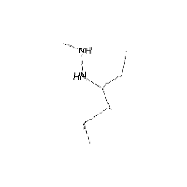 CCCC(CC)NNC